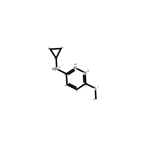 CSc1ccc(NC2CC2)nn1